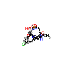 CC(=O)N[C@@H]1CCCCCS(=O)(=O)NC(O)c2ccc3c(c2)N(CCCCc2cc(Cl)ccc2CO3)C[C@@H]2CC[C@H]21